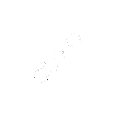 CC(C)n1c(-c2ccccc2)nc2cc3c(cc21)C1CCC3CC1